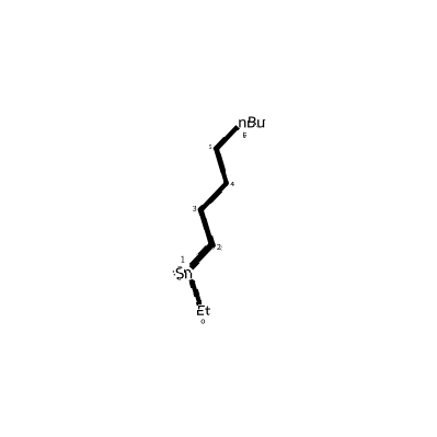 [CH2][CH2][Sn][CH2]CCCCCCC